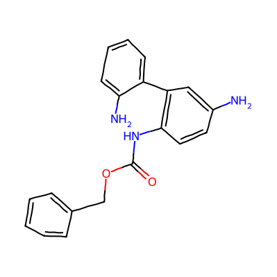 Nc1ccc(NC(=O)OCc2ccccc2)c(-c2ccccc2N)c1